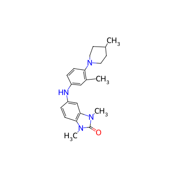 Cc1cc(Nc2ccc3c(c2)n(C)c(=O)n3C)ccc1N1CCC(C)CC1